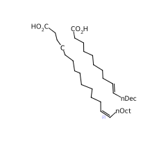 CCCCCCCC/C=C\CCCCCCCCCCCC(=O)O.CCCCCCCCCCC=CCCCCCCCC(=O)O